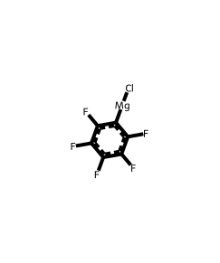 Fc1c(F)c(F)[c]([Mg][Cl])c(F)c1F